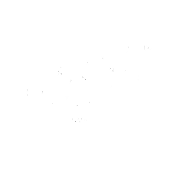 CNC(=O)c1cc(C(F)(F)F)cnc1N1CCN(C(=O)OC(C)(C)C)CC1